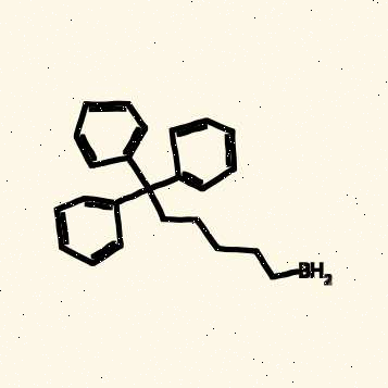 BCCCCCC(c1ccccc1)(c1ccccc1)c1ccccc1